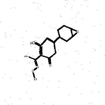 CCCC(=NOCC)C1=C(O)CC(C2CCC3OC3C2)CC1=O